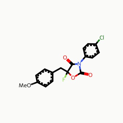 COc1ccc(CC2(F)OC(=O)N(c3ccc(Cl)cc3)C2=O)cc1